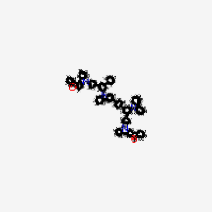 c1ccc(-c2cc(-c3ccc(-n4c5ccccc5c5c6c(ccc54)oc4ccccc46)cc3)cc(-n3c4ccccc4c4cc(-c5ccc(-c6cc(-c7ccc(-n8c9ccccc9c9cc%10oc%11ccccc%11c%10cc98)cc7)cc(-n7c8ccccc8c8ccccc87)c6)cc5)ccc43)c2)cc1